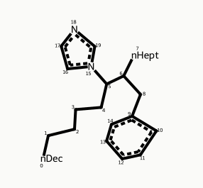 CCCCCCCCCCCCCCC(C(CCCCCCC)Cc1ccccc1)n1ccnc1